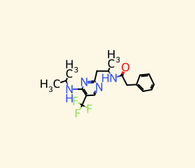 CC(C)Nc1nc(CC(C)NC(=O)Cc2ccccc2)ncc1C(F)(F)F